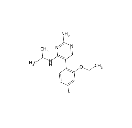 CCOc1cc(F)ccc1-c1cnc(N)nc1NC(C)C